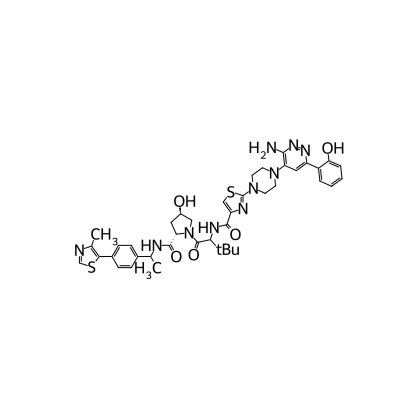 Cc1ncsc1-c1ccc(C(C)NC(=O)[C@@H]2C[C@@H](O)CN2C(=O)C(NC(=O)c2csc(N3CCN(c4cc(-c5ccccc5O)nnc4N)CC3)n2)C(C)(C)C)cc1